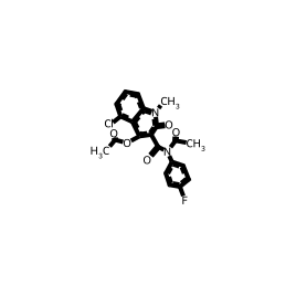 CC(=O)Oc1c(C(=O)N(C(C)=O)c2ccc(F)cc2)c(=O)n(C)c2cccc(Cl)c12